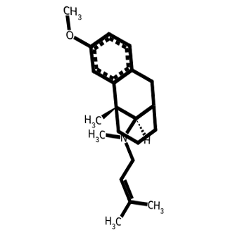 COc1ccc2c(c1)[C@@]1(C)CCCC(C2)[C@H]1N(C)CC=C(C)C